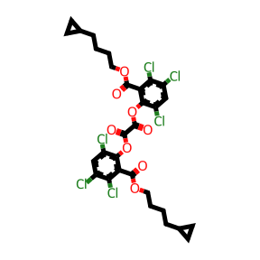 O=C(Oc1c(Cl)cc(Cl)c(Cl)c1C(=O)OCCCCC1CC1)C(=O)Oc1c(Cl)cc(Cl)c(Cl)c1C(=O)OCCCCC1CC1